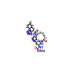 COC(=O)Nc1ccc2c(c1)NC(=O)CCCCCC(NC(=O)/C=C/c1cc(Cl)ccc1-n1cnnn1)c1ccnnc1-2